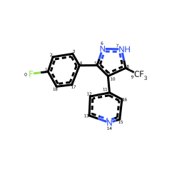 Fc1ccc(-c2n[nH]c(C(F)(F)F)c2-c2ccncc2)cc1